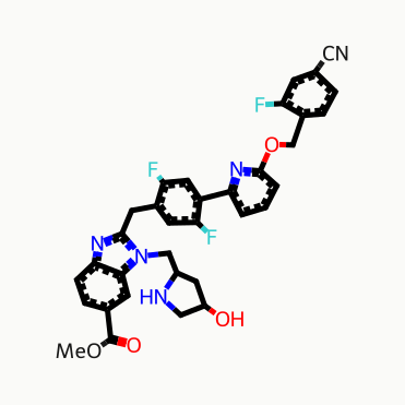 COC(=O)c1ccc2nc(Cc3cc(F)c(-c4cccc(OCc5ccc(C#N)cc5F)n4)cc3F)n(CC3CC(O)CN3)c2c1